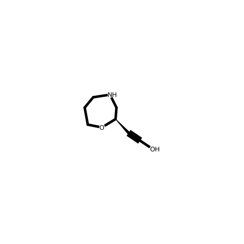 OC#C[C@@H]1CNCCCO1